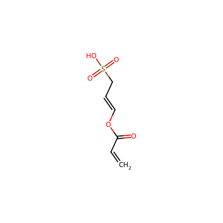 C=CC(=O)OC=CCS(=O)(=O)O